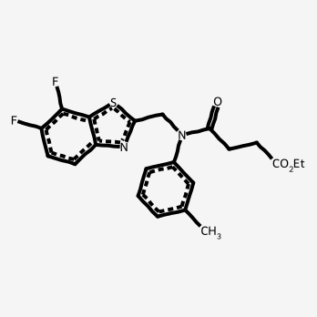 CCOC(=O)CCC(=O)N(Cc1nc2ccc(F)c(F)c2s1)c1cccc(C)c1